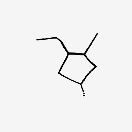 CCC1CC(F)CC1C